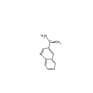 C[C@H](N)c1cnc2ccccc2c1